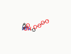 COCCOCCOCCOc1cccc(CCNC(=O)[C@]2(O)C[C@H](C)CC[C@H]2C(C)C)c1